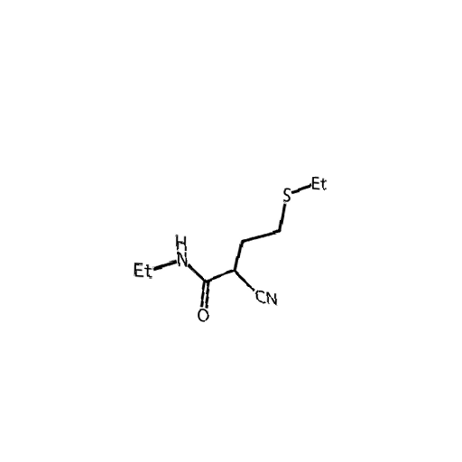 CCNC(=O)C(C#N)CCSCC